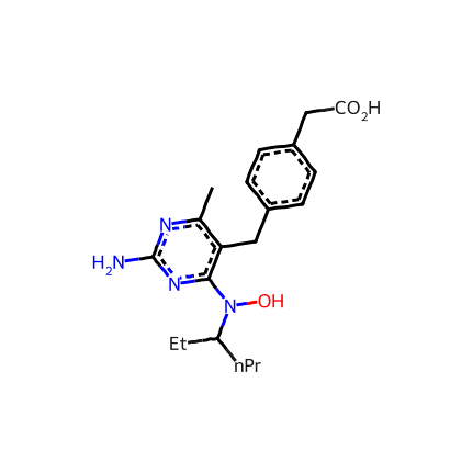 CCCC(CC)N(O)c1nc(N)nc(C)c1Cc1ccc(CC(=O)O)cc1